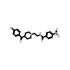 O=C(NCCN1CCC(C(=O)c2ccc(Cl)cc2)CC1)c1ccc([N+](=O)[O-])cc1